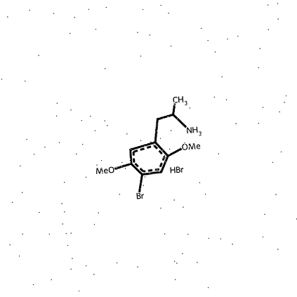 Br.COc1cc(CC(C)N)c(OC)cc1Br